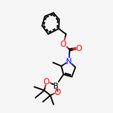 CC1C(B2OC(C)(C)C(C)(C)O2)=CCN1C(=O)OCc1ccccc1